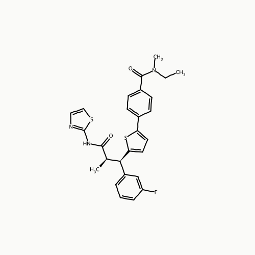 CCN(C)C(=O)c1ccc(-c2ccc([C@@H](c3cccc(F)c3)[C@@H](C)C(=O)Nc3nccs3)s2)cc1